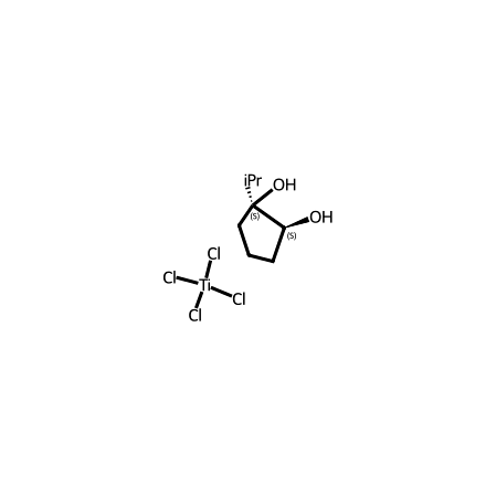 CC(C)[C@@]1(O)CCC[C@@H]1O.[Cl][Ti]([Cl])([Cl])[Cl]